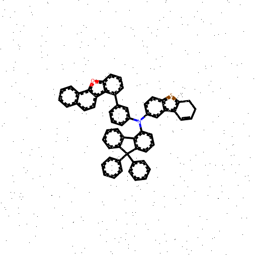 C1=Cc2c(sc3ccc(N(c4cccc(-c5cccc6oc7c8ccccc8ccc7c56)c4)c4cccc5c4-c4ccccc4C5(c4ccccc4)c4ccccc4)cc23)CC1